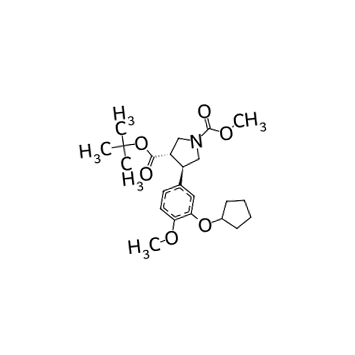 COC(=O)N1C[C@@H](C(=O)OC(C)(C)C)[C@H](c2ccc(OC)c(OC3CCCC3)c2)C1